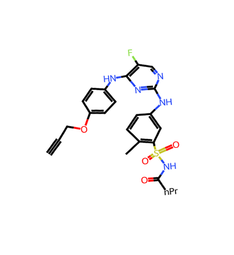 C#CCOc1ccc(Nc2nc(Nc3ccc(C)c(S(=O)(=O)NC(=O)CCC)c3)ncc2F)cc1